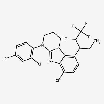 CCC(c1ccc(Cl)c2nc3n(c12)CCCN3c1ccc(Cl)cc1Cl)C(O)C(F)(F)F